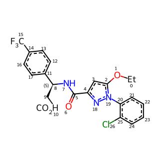 CCOc1cc(C(=O)N[C@@H](CC(=O)O)c2ccc(C(F)(F)F)cc2)nn1-c1ccccc1Cl